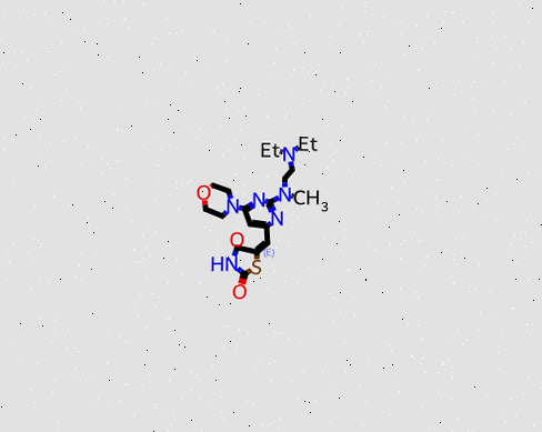 CCN(CC)CCN(C)c1nc(/C=C2/SC(=O)NC2=O)cc(N2CCOCC2)n1